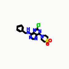 O=S1(=O)CCN(c2nc(Cl)nc3c(NCc4ccccc4)ncnc23)CC1